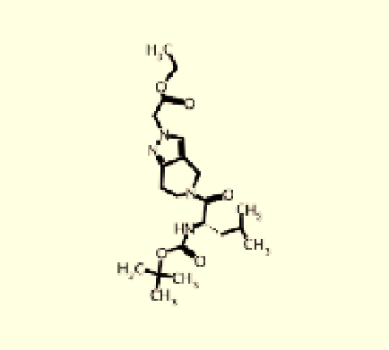 CCOC(=O)Cn1cc2c(n1)CCN(C(=O)[C@H](CC(C)C)NC(=O)OC(C)(C)C)C2